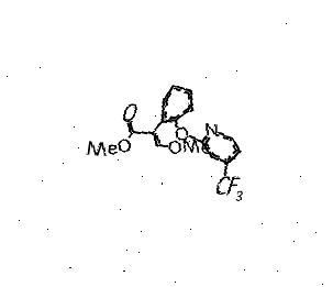 CO/C=C(/C(=O)OC)c1ccccc1Oc1cc(C(F)(F)F)ccn1